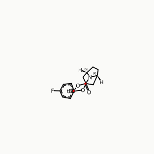 CC(C)(C)OC(=O)N1[C@@H]2CC[C@H]1CC(Oc1ccc(F)cc1)C2